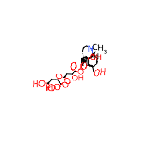 CN1CCC[C@]23c4c5ccc(CO)c4O[C@H]2C(OC(=O)[C@@H](O)CC(=O)O[C@H](CC(=O)O)C(=O)O)=CC[C@@]3(O)[C@H]1C5